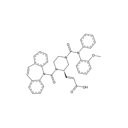 COc1ccccc1N(C(=O)N1CCN(C(=O)N2c3ccccc3C=Cc3ccccc32)[C@H](/C=C/C(=O)O)C1)c1ccccc1